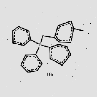 Br.Cc1ccc(C[P](c2ccccc2)(c2ccccc2)c2ccccc2)cc1